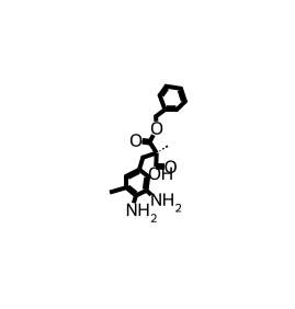 Cc1cc(C[C@](C)(C(=O)O)C(=O)OCc2ccccc2)cc(N)c1N